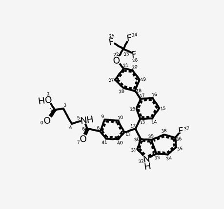 O=C(O)CCNC(=O)c1ccc(C(c2cccc(-c3ccc(OC(F)(F)F)cc3)c2)c2c[nH]c3ccc(F)cc23)cc1